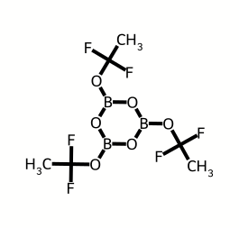 CC(F)(F)OB1OB(OC(C)(F)F)OB(OC(C)(F)F)O1